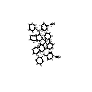 N#Cc1ccc(N(c2ccccc2)c2cc3c(c4ccccc24)-c2c(cc(N(c4ccccc4)c4ccc(C#N)cc4)c4ccccc24)C32c3ccccc3-c3ccccc32)cc1